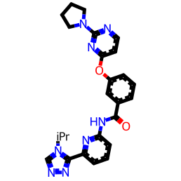 CC(C)n1cnnc1-c1cccc(NC(=O)c2cccc(Oc3ccnc(N4CCCC4)n3)c2)n1